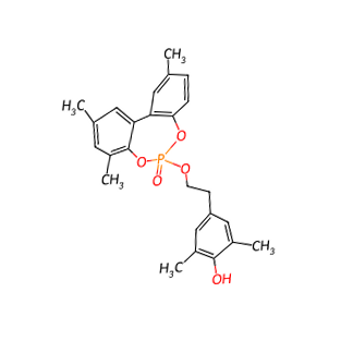 Cc1ccc2c(c1)-c1cc(C)cc(C)c1OP(=O)(OCCc1cc(C)c(O)c(C)c1)O2